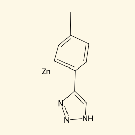 Cc1ccc(-c2c[nH]nn2)cc1.[Zn]